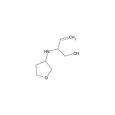 C=CC(CO)NC1CCOC1